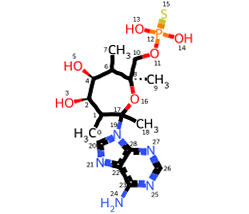 CC1[C@@H](O)[C@@H](O)C(C)[C@@](C)(COP(O)(O)=S)OC1(C)n1cnc2c(N)ncnc21